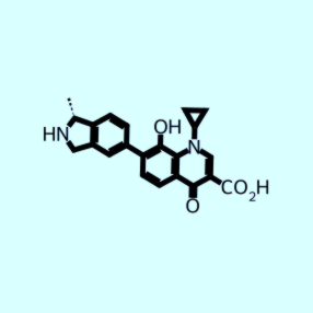 C[C@H]1NCc2cc(-c3ccc4c(=O)c(C(=O)O)cn(C5CC5)c4c3O)ccc21